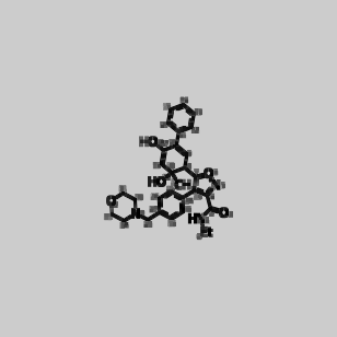 CCNC(=O)c1noc(C2C=C(c3ccccc3)C(O)=CC2(C)O)c1-c1ccc(CN2CCOCC2)cc1